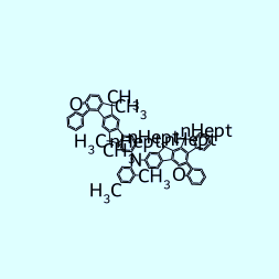 CCCCCCCC1(CCCCCCC)c2cc(N(c3ccc4c(c3)C(C)(C)c3cc5c(cc3-4)C(C)(C)c3ccc4oc6ccccc6c4c3-5)c3ccc(C)cc3C)ccc2-c2c1c1c(c3c2oc2ccccc23)-c2ccccc2C1(CCCCCCC)CCCCCCC